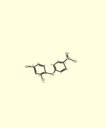 O=[N+]([O-])c1ccc(Sc2ccc(Cl)cc2Cl)cc1